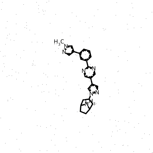 CN1C2CCC1CC(n1cc(-c3cnc(-c4cccc(-c5cnn(C)c5)c4)nc3)cn1)C2